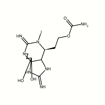 N=C1NC2[C@H](CCOC(N)=O)N(I)C(=N)N3CCC(O)(O)C23N1